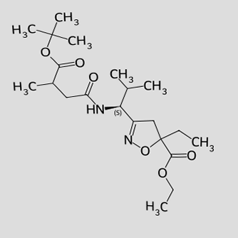 CCOC(=O)C1(CC)CC([C@@H](NC(=O)CC(C)C(=O)OC(C)(C)C)C(C)C)=NO1